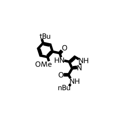 CCCCNC(=O)c1n[nH]cc1NC(=O)c1cc(C(C)(C)C)ccc1OC